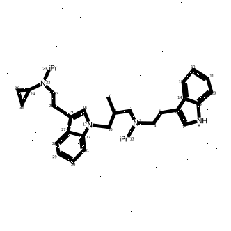 CC(CN(CCc1c[nH]c2ccccc12)C(C)C)Cn1cc(CCN(C(C)C)C2CC2)c2ccccc21